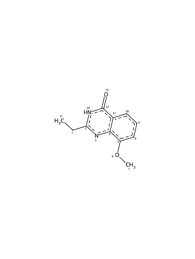 CCc1nc2c(OC)cccc2c(=O)[nH]1